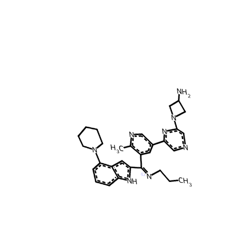 CCC/N=C(/c1cc2c(N3CCCCC3)cccc2[nH]1)c1cc(-c2cncc(N3CC(N)C3)n2)cnc1C